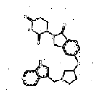 O=C1CCC(N2Cc3cc(OC4CCN(Cc5c[nH]c6cnccc56)C4)ccc3C2=O)C(=O)N1